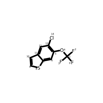 FC(F)(F)Oc1cc2sc[c]c2cc1Cl